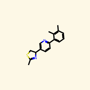 CC1=NC(c2ccc(-c3cccc(C)c3C)nc2)CS1